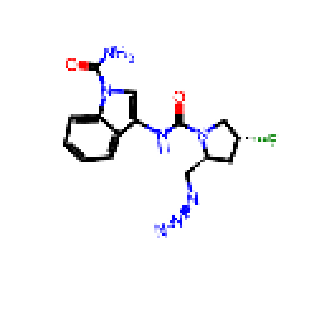 [N-]=[N+]=NC[C@@H]1C[C@@H](F)CN1C(=O)Nc1cn(C(N)=O)c2ccccc12